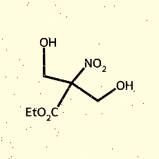 CCOC(=O)C(CO)(CO)[N+](=O)[O-]